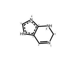 [CH]1N=Cc2[nH]cnc2N1